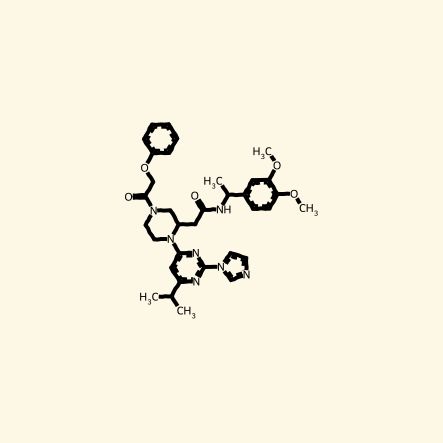 COc1ccc(C(C)NC(=O)CC2CN(C(=O)COc3ccccc3)CCN2c2cc(C(C)C)nc(-n3ccnc3)n2)cc1OC